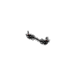 CCCCC(CC)ON1C(C)(C)CC(OC(=O)CCCCCCCCC(=O)OC2CC(C)(C)N(OC(CC)CCCC)C(C)(C)C2)CC1(C)C